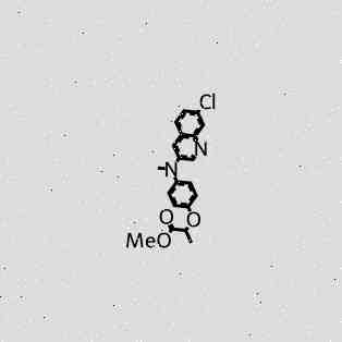 COC(=O)C(C)Oc1ccc(N(C)c2cnc3cc(Cl)ccc3c2)cc1